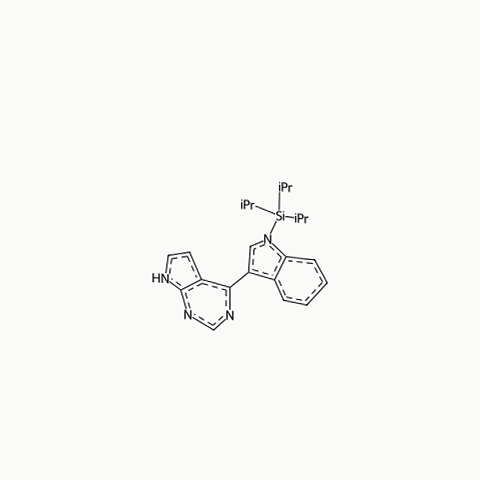 CC(C)[Si](C(C)C)(C(C)C)n1cc(-c2ncnc3[nH]ccc23)c2ccccc21